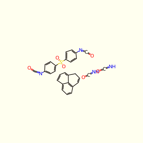 C1=Cc2cccc3cccc(c23)C1.N=C=O.N=C=O.O=C=Nc1ccc(S(=O)(=O)c2ccc(N=C=O)cc2)cc1